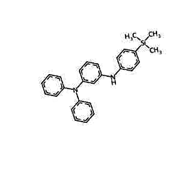 C[Si](C)(C)c1ccc(Nc2cccc(N(c3ccccc3)c3ccccc3)c2)cc1